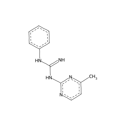 Cc1ccnc(NC(=N)Nc2ccccc2)n1